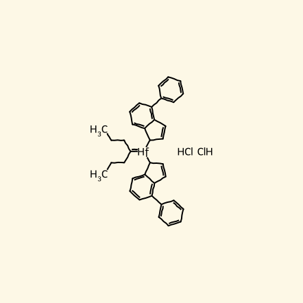 CCC[C](CCC)=[Hf]([CH]1C=Cc2c(-c3ccccc3)cccc21)[CH]1C=Cc2c(-c3ccccc3)cccc21.Cl.Cl